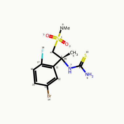 CNS(=O)(=O)C[C@](C)(NC(N)=S)c1cc(Br)ccc1F